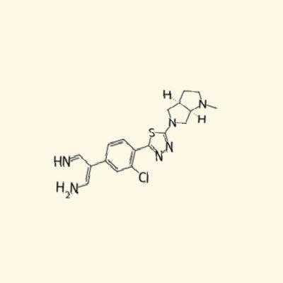 CN1CC[C@@H]2CN(c3nnc(-c4ccc(/C(C=N)=C/N)cc4Cl)s3)C[C@@H]21